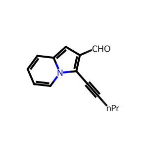 CCCC#Cc1c(C=O)cc2ccccn12